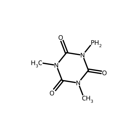 Cn1c(=O)n(C)c(=O)n(P)c1=O